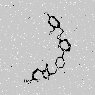 Cn1c(/C=C\C(=O)O)cnc1CN1CCC(c2cccc(OCc3ccc(Cl)cc3F)n2)CC1